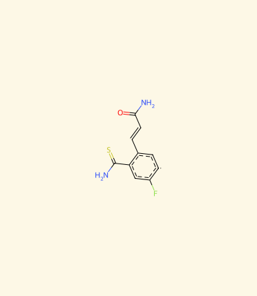 NC(=O)C=Cc1c[c]c(F)cc1C(N)=S